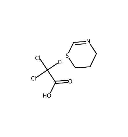 C1=NCCCS1.O=C(O)C(Cl)(Cl)Cl